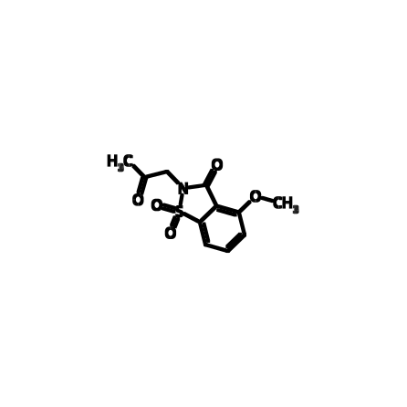 COc1cccc2c1C(=O)N(CC(C)=O)S2(=O)=O